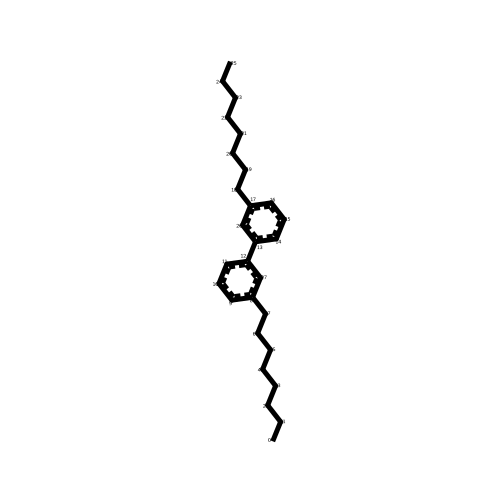 CCCCCCCCc1cccc(-c2cccc(CCCCCCCC)c2)c1